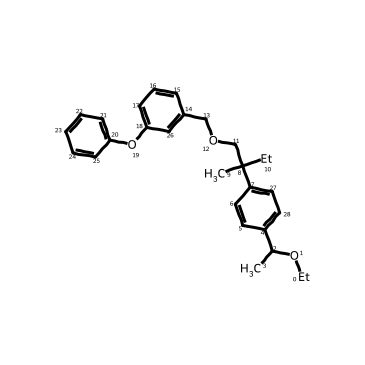 CCOC(C)c1ccc(C(C)(CC)COCc2cccc(Oc3ccccc3)c2)cc1